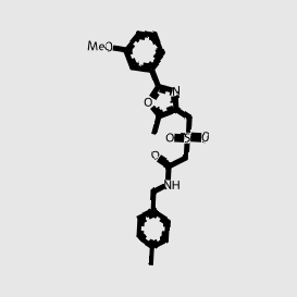 COc1cccc(-c2nc(CS(=O)(=O)CC(=O)NCc3ccc(C)cc3)c(C)o2)c1